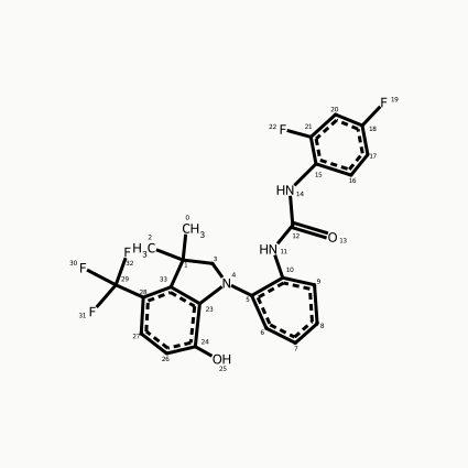 CC1(C)CN(c2ccccc2NC(=O)Nc2ccc(F)cc2F)c2c(O)ccc(C(F)(F)F)c21